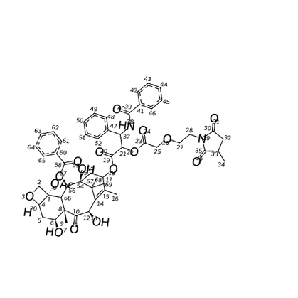 CC(=O)O[C@@]12CO[C@@H]1C[C@H](O)[C@@]1(C)C(=O)[C@H](O)C3=C(C)C(OC(=O)C(OC(=O)COCCN4C(=O)CC(C)C4=O)C(NC(=O)c4ccccc4)c4ccccc4)C[C@@](O)(C(OC(=O)c4ccccc4)C12)C3(C)C